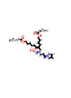 CCCCCCCCCCC(=O)OCCCCCC(O)C(CCCCOC(=O)CCCCCCCCCC)CN(C)CCCn1cccn1